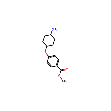 COC(=O)c1ccc(OC2CCC(N)CC2)cc1